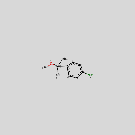 CCCC[Si](CCCC)(OCCC)c1ccc(Br)cc1